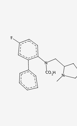 CN1CCCC1CN(C(=O)O)c1ccc(F)cc1-c1ccccc1